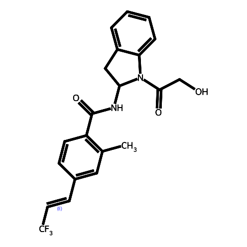 Cc1cc(/C=C/C(F)(F)F)ccc1C(=O)NC1Cc2ccccc2N1C(=O)CO